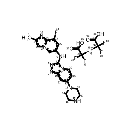 Cc1cn2cc(Nc3nnc4cc(N5CCNCC5)ccn34)cc(F)c2n1.O=C(O)C(F)(F)F.O=C(O)C(F)(F)F